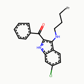 CC(C)CCCNc1c(C(=O)c2ccccc2)[nH]c2cc(Cl)ccc12